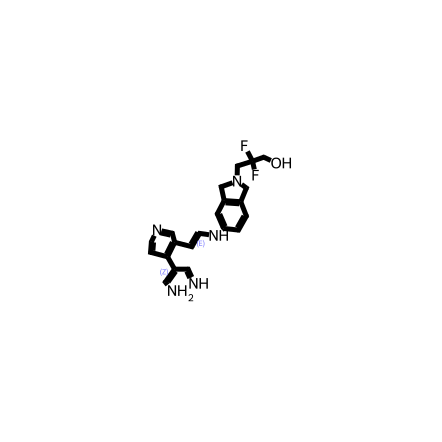 N=C/C(=C\N)c1ccncc1/C=C/Nc1ccc2c(c1)CN(CC(F)(F)CO)C2